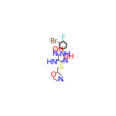 CN1CCOC(CS/C(=N/O)C(=N)/C(=N/O)Nc2ccc(F)c(Br)c2)C1